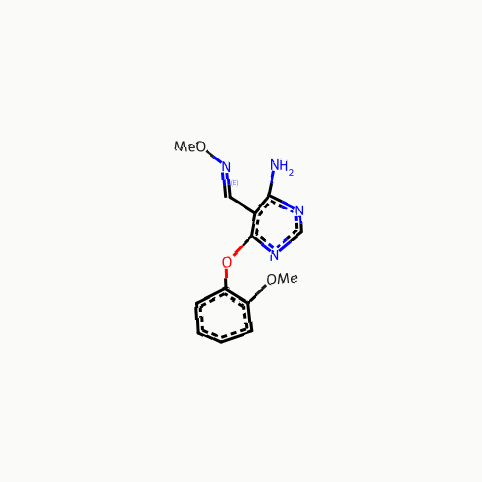 CO/N=C/c1c(N)ncnc1Oc1ccccc1OC